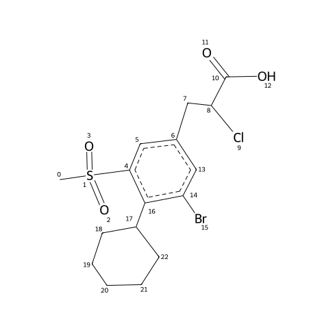 CS(=O)(=O)c1cc(CC(Cl)C(=O)O)cc(Br)c1C1CCCCC1